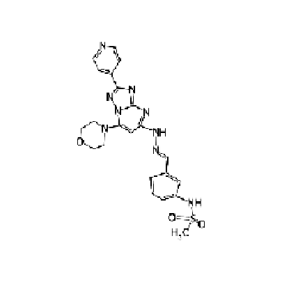 CS(=O)(=O)Nc1cccc(C=NNc2cc(N3CCOCC3)n3nc(-c4ccncc4)nc3n2)c1